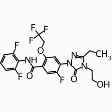 CCc1nn(-c2cc(OCC(F)(F)F)c(C(=O)Nc3c(F)cccc3F)cc2F)c(=O)n1CCO